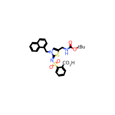 CC(C)(C)OC(=O)NCc1cn(Cc2cccc3ccccc23)/c(=N/S(=O)(=O)c2ccccc2C(=O)O)s1